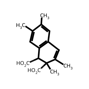 CC1=Cc2cc(C)c(C)cc2C(C(=O)O)C1(C)C(=O)O